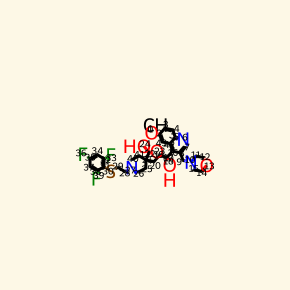 COc1ccc2ncc(CN3CCOCC3)c([C@@H](O)CCC3(C(=O)O)CCN(CCSc4c(F)cc(F)cc4F)CC3)c2c1